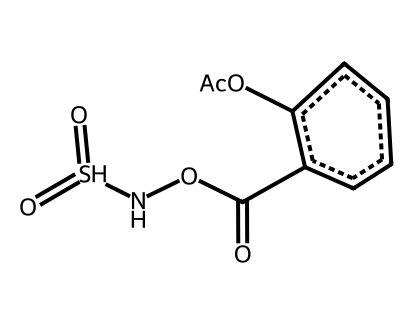 CC(=O)Oc1ccccc1C(=O)ON[SH](=O)=O